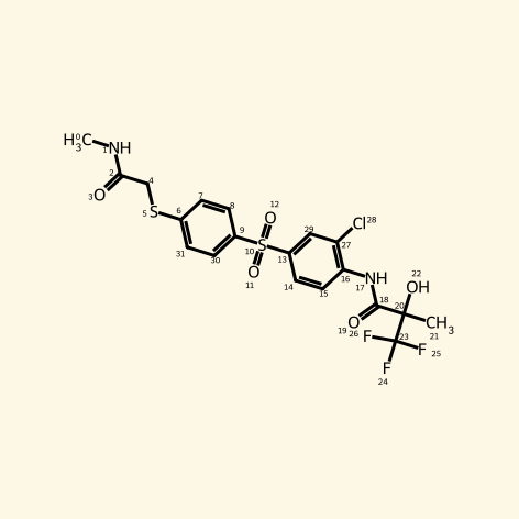 CNC(=O)CSc1ccc(S(=O)(=O)c2ccc(NC(=O)C(C)(O)C(F)(F)F)c(Cl)c2)cc1